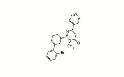 Cn1c(N2CCC=C(c3ccccc3Br)C2)nc(-c2ccncn2)cc1=O